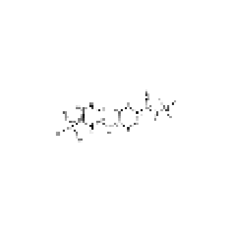 CC(C)(C)OC(=O)N1CCC(Oc2ccnc(C(F)(F)F)n2)CC1